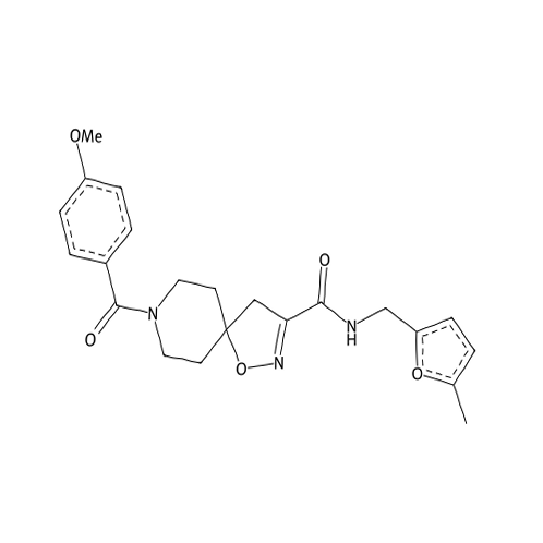 COc1ccc(C(=O)N2CCC3(CC2)CC(C(=O)NCc2ccc(C)o2)=NO3)cc1